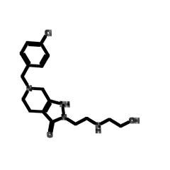 O=c1c2c([nH]n1CCNCCO)CN(Cc1ccc(Cl)cc1)CC2